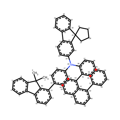 CC1(C)c2ccccc2-c2cccc(-c3ccc(N(c4ccc5c(c4)C4(CCCC4)c4ccccc4-5)c4ccccc4-c4cccc5cccc(-c6ccccc6)c45)cc3)c21